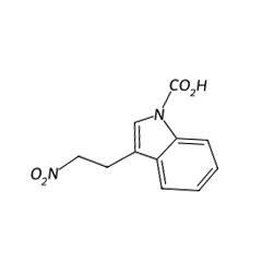 O=C(O)n1cc(CC[N+](=O)[O-])c2ccccc21